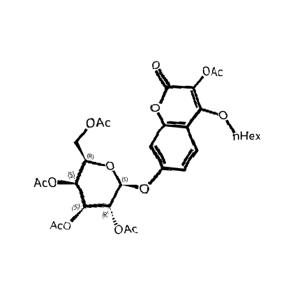 CCCCCCOc1c(OC(C)=O)c(=O)oc2cc(O[C@@H]3O[C@H](COC(C)=O)[C@H](OC(C)=O)[C@H](OC(C)=O)[C@H]3OC(C)=O)ccc12